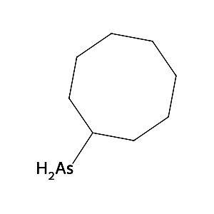 [AsH2]C1CCCCCCC1